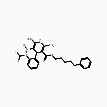 CC1=C(C(=O)OCCCCCc2ccccc2)C(c2ccccc2OC(F)F)C([N+](=O)[O-])=C(C)N1